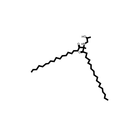 CCCCCCCCCCCCCCCCCC(=O)C(C)(NCC(C)O)C(=O)CCCCCCCCCCCCCCCCC